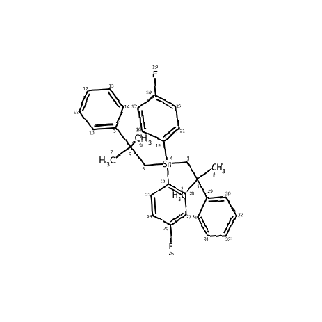 CC(C)([CH2][Sn]([CH2]C(C)(C)c1ccccc1)([c]1ccc(F)cc1)[c]1ccc(F)cc1)c1ccccc1